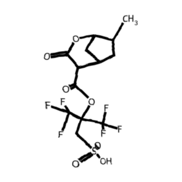 CC1CC2CC1OC(=O)C2C(=O)OC(CS(=O)(=O)O)(C(F)(F)F)C(F)(F)F